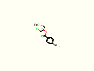 CCOC(=O)C[C@H](CCl)OC(=O)c1ccc([N+](=O)[O-])cc1